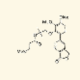 COc1ccc(-c2ccc3c(c2)COC3=O)c(OCC(C)(C)OC(=O)CCSC)c1OC